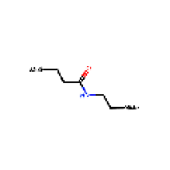 CNCCNC(=O)CCSC